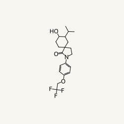 CC(C)C1CC2(CCC1O)CCN(c1ccc(OCC(F)(F)F)cc1)C2=O